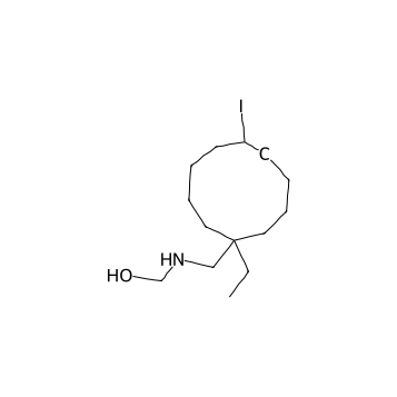 CCC1(CNCO)CCCCC(I)CCCC1